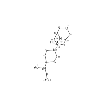 CC(=O)N(CC(C)(C)C)C1CCN(C2CC3COCC(C2)N3C(=O)O)CC1